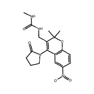 CNC(=S)NCC1=C(N2CCCC2=O)c2cc([N+](=O)[O-])ccc2OC1(C)C